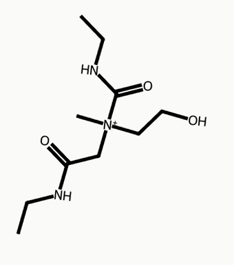 CCNC(=O)C[N+](C)(CCO)C(=O)NCC